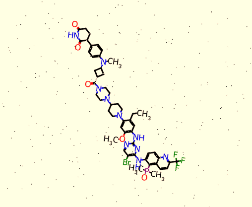 CCc1cc(Nc2ncc(Br)c(Nc3ccc4nc(C(F)(F)F)ccc4c3P(C)(C)=O)n2)c(OC)cc1N1CCC(N2CCN(C(=O)[C@H]3C[C@H](N(C)c4ccc(C5CCC(=O)NC5=O)cc4)C3)CC2)CC1